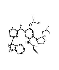 C=CC(=O)Nc1cc(Nc2nccc(-c3noc4ccccc34)n2)c(OC(F)F)cc1N1CCC[C@H]1CN(C)C